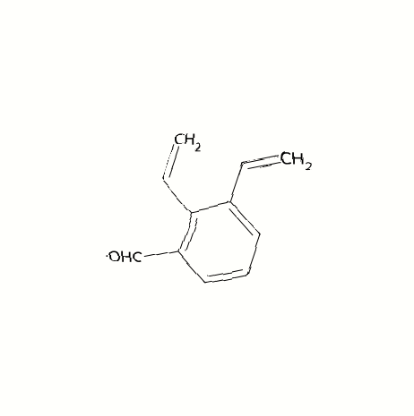 C=Cc1cccc([C]=O)c1C=C